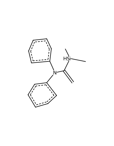 C=C(N(c1ccccc1)c1ccccc1)[SiH](C)C